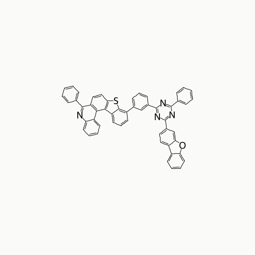 c1ccc(-c2nc(-c3cccc(-c4cccc5c4sc4ccc6c(-c7ccccc7)nc7ccccc7c6c45)c3)nc(-c3ccc4c(c3)oc3ccccc34)n2)cc1